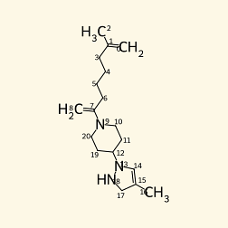 C=C(C)CCCCC(=C)N1CCC(N2C=C(C)CN2)CC1